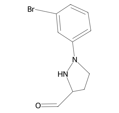 O=CC1CCN(c2cccc(Br)c2)N1